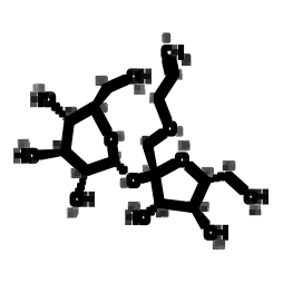 C=CCOC[C@@]1(O[C@H]2O[C@H](CO)[C@@H](O)[C@H](O)[C@H]2O)O[C@H](CO)[C@@H](O)[C@@H]1O